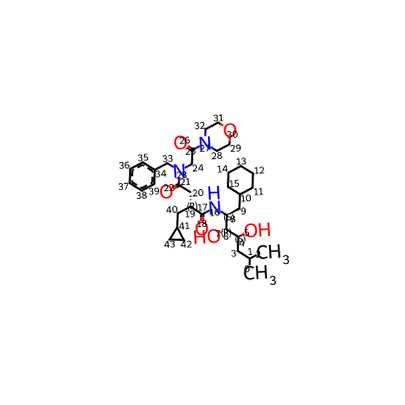 CC(C)C[C@H](O)[C@H](O)[C@H](CC1CCCCC1)NC(=O)[C@@H](CC(=O)N(CC(=O)N1CCOCC1)Cc1ccccc1)CC1CC1